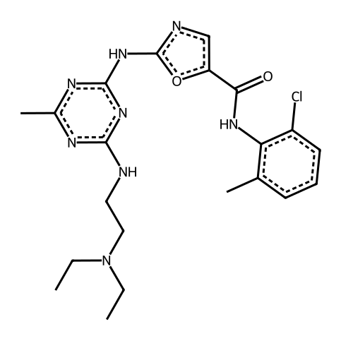 CCN(CC)CCNc1nc(C)nc(Nc2ncc(C(=O)Nc3c(C)cccc3Cl)o2)n1